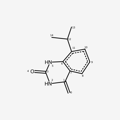 C=C1NC(=O)Nc2c1cccc2C(C)C